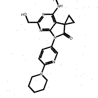 CNc1nc(CO)nc2c1C1(CC1)C(=O)N2c1ccc(N2CCCCC2)nc1